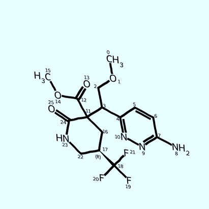 COCC(c1ccc(N)nn1)C1(C(=O)OC)C[C@@H](C(F)(F)F)CNC1=O